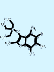 CC[Si](CC)(CC)Oc1c(C)oc2c(C)c(C)c(Br)c(C)c12